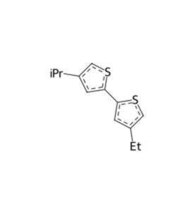 CCc1csc(-c2cc(C(C)C)cs2)c1